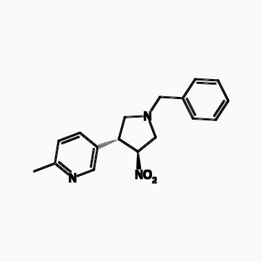 Cc1ccc([C@@H]2CN(Cc3ccccc3)C[C@H]2[N+](=O)[O-])cn1